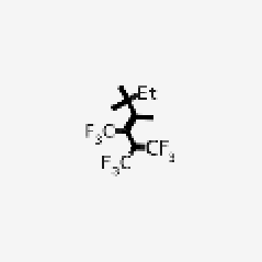 CCC(C)(C)/C(C)=C(/C(C(F)(F)F)C(F)(F)F)C(F)(F)F